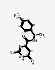 CCc1nc(C(=O)N[C@H](C)c2ccc(C(F)(F)F)cc2)cc(=O)[nH]1